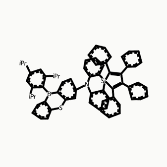 CC(C)c1cc(C(C)C)c(B2c3ccccc3Sc3cc(N4c5ccccc5[Si]5(C(c6ccccc6)=C(c6ccccc6)C(c6ccccc6)=C5c5ccccc5)c5ccccc54)ccc32)c(C(C)C)c1